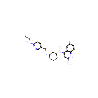 O=C(N[C@@H]1CCC[C@H](Nc2cc(C(F)(F)F)nc3ccc(Cl)cc23)C1)c1ccc(NCCF)nc1